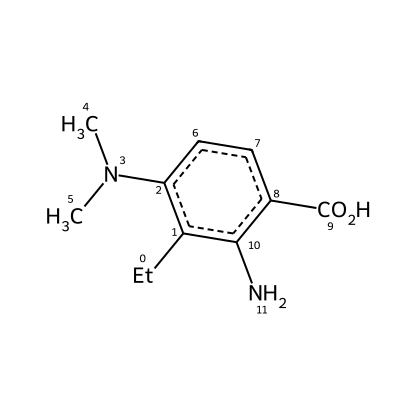 CCc1c(N(C)C)ccc(C(=O)O)c1N